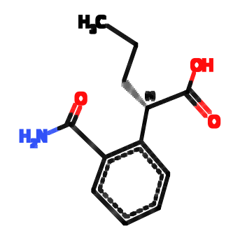 CCC[C@H](C(=O)O)c1ccccc1C(N)=O